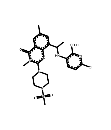 Cc1cc(C(C)Nc2ccc(Cl)nc2C(=O)O)c2nc(N3CCN(S(C)(=O)=O)CC3)n(C)c(=O)c2c1